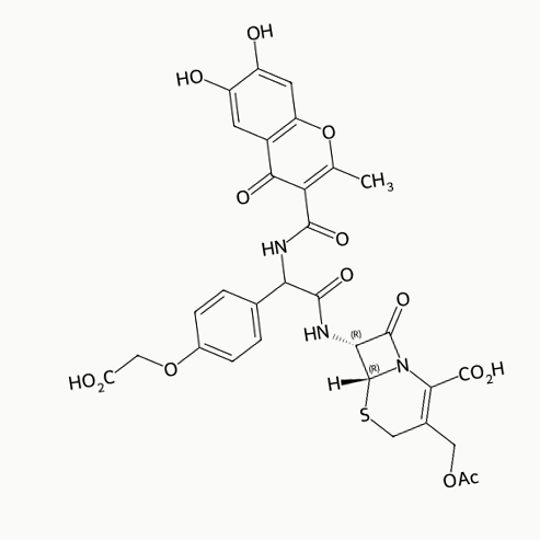 CC(=O)OCC1=C(C(=O)O)N2C(=O)[C@@H](NC(=O)C(NC(=O)c3c(C)oc4cc(O)c(O)cc4c3=O)c3ccc(OCC(=O)O)cc3)[C@H]2SC1